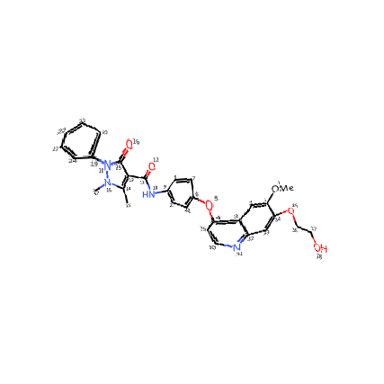 COc1cc2c(Oc3ccc(NC(=O)c4c(C)n(C)n(-c5ccccc5)c4=O)cc3)ccnc2cc1OCCO